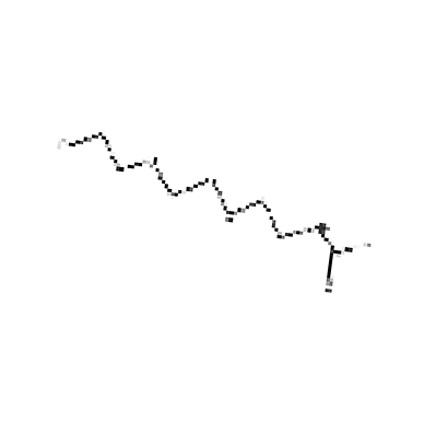 CCC(=O)NCCOCCOCCC(C)C